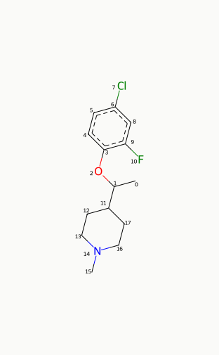 CC(Oc1ccc(Cl)cc1F)C1CCN(C)CC1